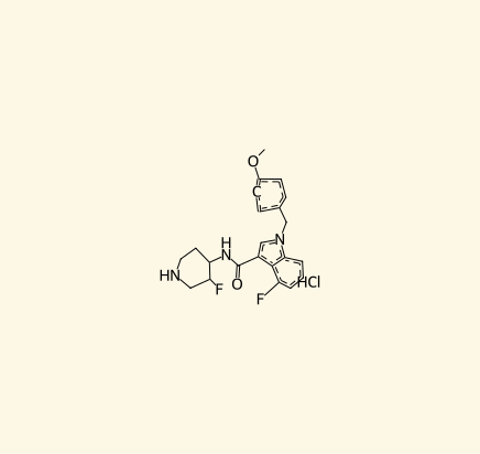 COc1ccc(Cn2cc(C(=O)NC3CCNCC3F)c3c(F)cccc32)cc1.Cl